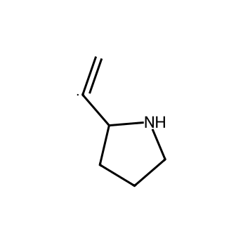 C=[C]C1CCCN1